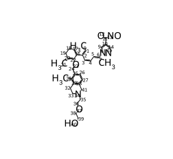 C/C=C(/C=C\C=C(/C)n1cc(C(=O)N=O)cn1)C1=CCCC(C)=C1OCc1ccc2c(c1C)CCN(CCOCCO)C2